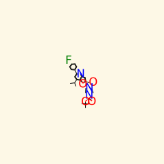 CC(C)c1cc(-c2ccc(F)cc2)nc2cc(C(=O)N3CCN(C(=O)OC(C)(C)C)CC3)oc12